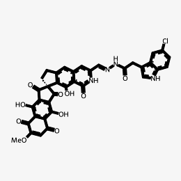 COC1=CC(=O)c2c(O)c3c(c(O)c2C1=O)C(=O)[C@]1(CCc2cc4cc(C=NNC(=O)Cc5c[nH]c6ccc(Cl)cc56)[nH]c(=O)c4c(O)c21)C3=O